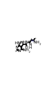 C/C(N)=C/C(=N)NC(=O)c1n[nH]c2ncnc(N)c12